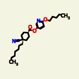 CCCCCCC[C@]1(C#N)CC[C@H](C(=O)Oc2ccc(OCCCCC)nc2)CC1